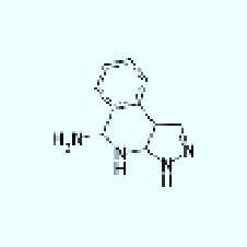 NC1NC2NN=CC2c2ccccc21